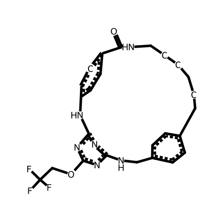 O=C1NCCCCCCc2ccc(cc2)CNc2nc(nc(OCC(F)(F)F)n2)Nc2ccc1cc2